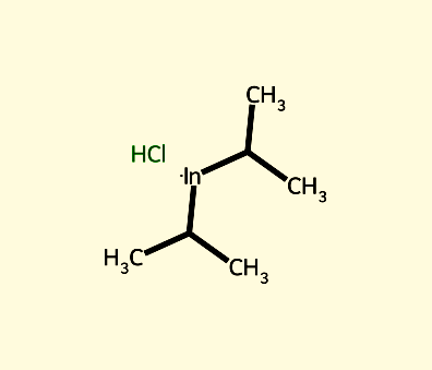 C[CH](C)[In][CH](C)C.Cl